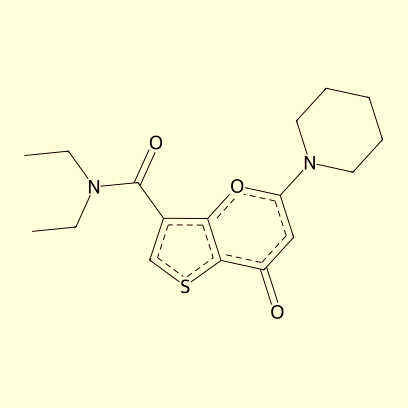 CCN(CC)C(=O)c1csc2c(=O)cc(N3CCCCC3)oc12